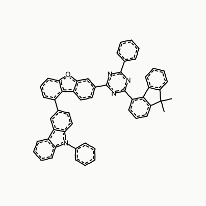 CC1(C)c2ccccc2-c2c(-c3nc(-c4ccccc4)nc(-c4ccc5c(c4)oc4cccc(-c6ccc7c(c6)c6ccccc6n7-c6ccccc6)c45)n3)cccc21